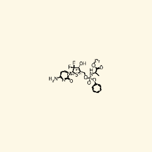 CC(C)OC(=O)C(C)NP(=O)(OC[C@H]1S[C@@H](n2ccc(N)nc2=O)C(F)(F)[C@@H]1O)Oc1ccccc1